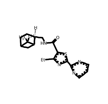 CCc1nc(-c2ncccn2)sc1C(=O)NC[C@@H]1CCC2CC1C2(C)C